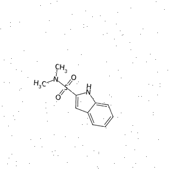 CN(C)S(=O)(=O)c1cc2ccccc2[nH]1